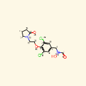 O=CN(O)Cc1cc(Cl)c(OCCN2CCCC2=O)c(Cl)c1